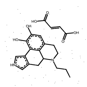 CCCN1CCc2cc(O)c(O)c3c2C1Cc1c[nH]cc1-3.O=C(O)C=CC(=O)O